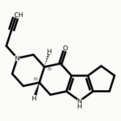 C#CCN1CC[C@H]2Cc3[nH]c4c(c3C(=O)[C@@H]2C1)CCC4